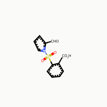 O=Cc1cccn1S(=O)(=O)c1ccccc1C(=O)O